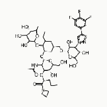 CCC[C@H](OC1C(NC(C)=O)[C@H](O[C@@H]2CC(CO[C@H]3OC(CO)[C@@H](O)C(n4cc(-c5cc(F)c(F)c(F)c5)nn4)C3O)CC(CC)C2O[C@@H]2OC(C)[C@@H](O)C(O)C2O)OC(CO)[C@@H]1O)C(=O)N1CCC1